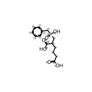 O=C(O)CCCC(CP(=O)(O)Cc1ccccc1)C(=O)O